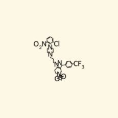 CS(=O)(=O)N1CCc2c(c(-c3ccc(C(F)(F)F)cc3)nn2CCCN2CCN(c3c(Cl)cccc3[N+](=O)[O-])CC2)C1